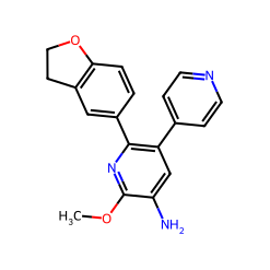 COc1nc(-c2ccc3c(c2)CCO3)c(-c2ccncc2)cc1N